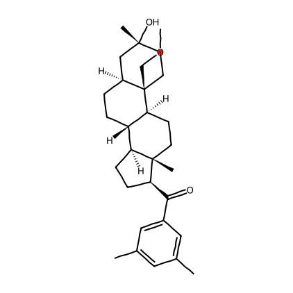 COC[C@]12CC[C@@](C)(O)C[C@@H]1CC[C@H]1[C@@H]3CC[C@H](C(=O)c4cc(C)cc(C)c4)[C@@]3(C)CC[C@@H]12